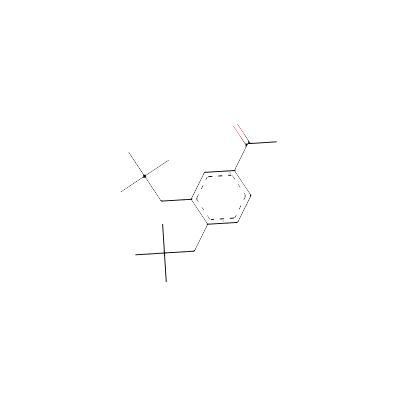 CC(=O)c1ccc(CC(C)(C)C)c(CC(C)(C)C)c1